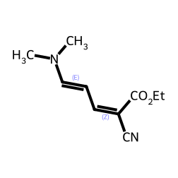 CCOC(=O)/C(C#N)=C\C=C\N(C)C